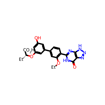 CCOc1cc(-c2cc(O)cc(O[C@H](CC)C(=O)O)c2)ccc1-c1nc2[nH]nnc2c(=O)[nH]1